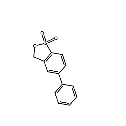 O=S1(=O)OCc2cc(-c3ccccc3)ccc21